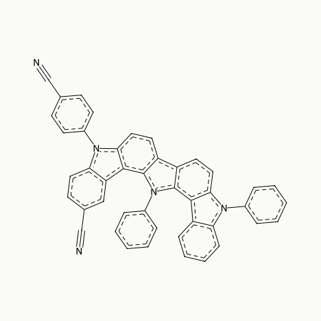 N#Cc1ccc(-n2c3ccc(C#N)cc3c3c2ccc2c4ccc5c(c6ccccc6n5-c5ccccc5)c4n(-c4ccccc4)c23)cc1